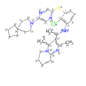 C=C(Nc1cccc(Sc2cnc(N3CCC4(CCCC4)CC3)cn2)c1Cl)C1=C(C)N=C2CCCCN2C1=C